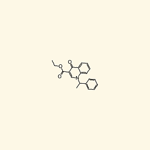 CCOC(=O)c1cn(C(C)c2ccccc2)c2ccccc2c1=O